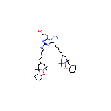 CC1(C)CC(CCCCNC2=NC(NCCCCC3CC(C)(C)N(OC4CCCCC4)C(C)(C)C3)N(N)C(CCO)=N2)CC(C)(C)N1OC1CCCCC1